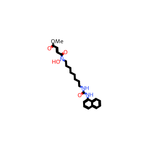 COC(=O)/C=C/C(=O)N(O)CCCCCCCCNC(=O)Nc1cccc2ccccc12